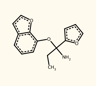 CCC(N)(Oc1cccc2ccoc12)c1ccco1